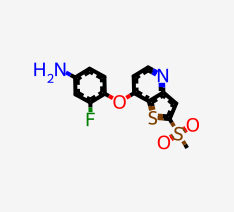 CS(=O)(=O)c1cc2nccc(Oc3ccc(N)cc3F)c2s1